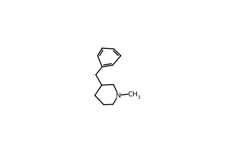 CN1CCCC([CH]c2ccccc2)C1